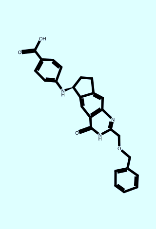 O=C(O)c1ccc(N[C@H]2CCc3cc4nc(COCc5ccccc5)[nH]c(=O)c4cc32)cc1